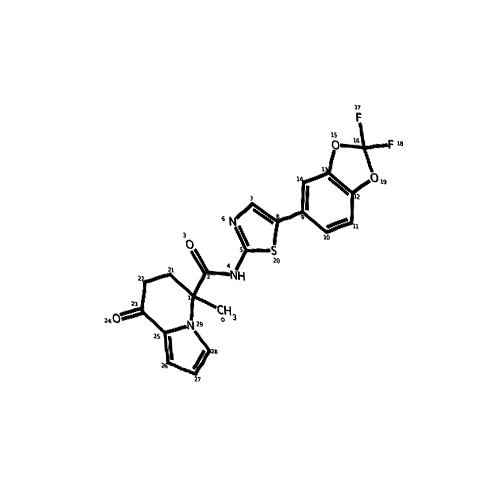 CC1(C(=O)Nc2ncc(-c3ccc4c(c3)OC(F)(F)O4)s2)CCC(=O)c2cccn21